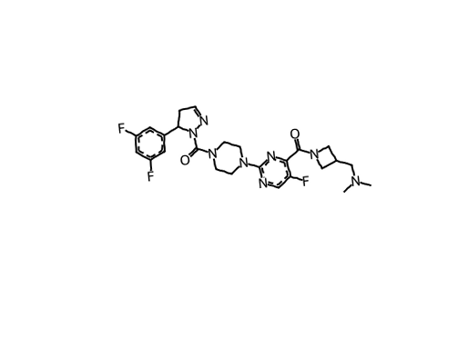 CN(C)CC1CN(C(=O)c2nc(N3CCN(C(=O)N4N=CCC4c4cc(F)cc(F)c4)CC3)ncc2F)C1